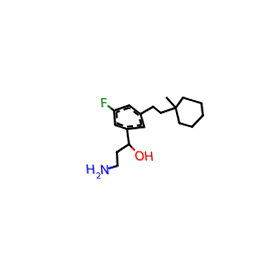 CC1(CCc2cc(F)cc(C(O)CCN)c2)CCCCC1